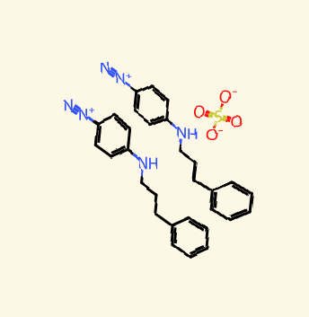 N#[N+]c1ccc(NCCCc2ccccc2)cc1.N#[N+]c1ccc(NCCCc2ccccc2)cc1.O=S(=O)([O-])[O-]